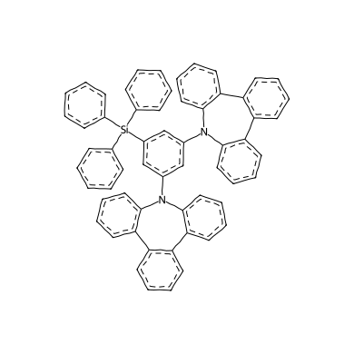 c1ccc([Si](c2ccccc2)(c2ccccc2)c2cc(N3c4ccccc4-c4ccccc4-c4ccccc43)cc(N3c4ccccc4-c4ccccc4-c4ccccc43)c2)cc1